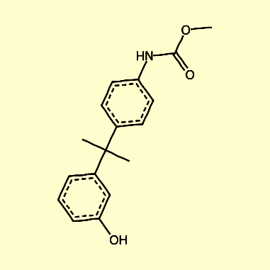 COC(=O)Nc1ccc(C(C)(C)c2cccc(O)c2)cc1